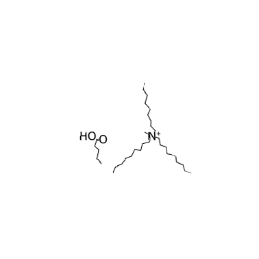 CCCCC(=O)O.CCCCCCCCC[N+](C)(CCCCCCCCC)CCCCCCCCC